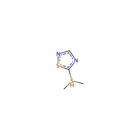 C[SH](C)c1ncns1